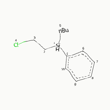 CCCC[SiH](CCCl)c1ccccc1